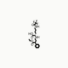 CCOC(=O)C(CCN[C@@H](CCCCNC(=O)C(F)(F)F)C(=O)O)c1ccccc1